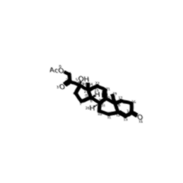 [CH2]C(=O)OCC(=O)[C@@]1(O)CC[C@H]2[C@@H]3CCC4=CC(=O)CCC4(C)C3=CCC21C